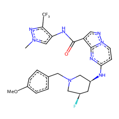 COc1ccc(CN2C[C@H](F)C[C@H](Nc3ccn4ncc(C(=O)Nc5cn(C)nc5C(F)(F)F)c4n3)C2)cc1